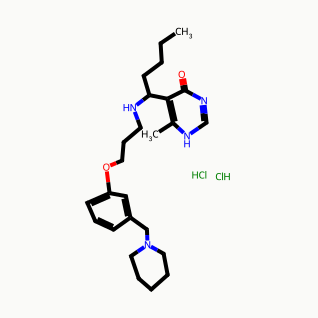 CCCCC(NCCCOc1cccc(CN2CCCCC2)c1)c1c(C)[nH]cnc1=O.Cl.Cl